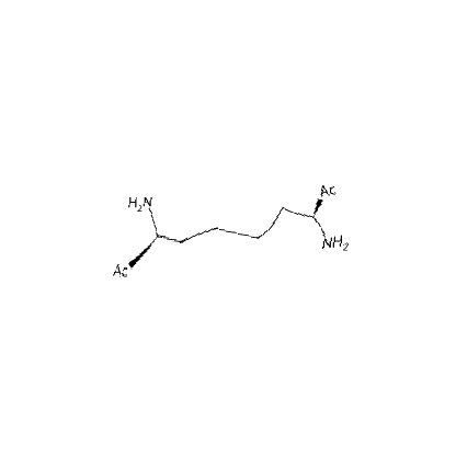 CC(=O)[C@@H](N)CCCC[C@H](N)C(C)=O